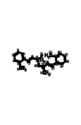 Cc1ccccc1N=CN(C)SN(C)C=Nc1ccccc1C